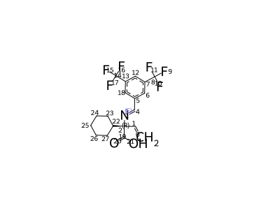 C=C[C@@](/N=C/c1cc(C(F)(F)F)cc(C(F)(F)F)c1)(C(=O)O)C1CCCCC1